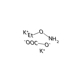 CCON.O=C([O-])[O-].[K+].[K+]